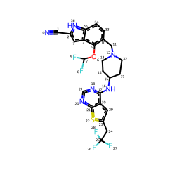 N#Cc1cc2c(OC(F)F)c(CN3CCC(Nc4ncnc5sc(CC(F)(F)F)cc45)CC3)ccc2[nH]1